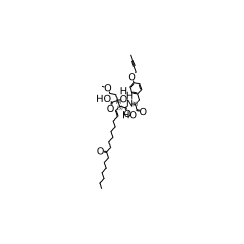 CC#CCOc1ccc(C[C@H](NC(=O)[C@@H](C=CCCCCCCC(=O)CCCCCCC)[C@@](O)(CCOC)C(=O)O)C(=O)O)cc1